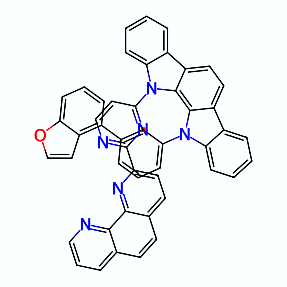 c1cc(-c2cccc3occc23)cc(-n2c3ccccc3c3ccc4c5ccccc5n(-c5ccnc(-c6ccc7ccc8cccnc8c7n6)n5)c4c32)c1